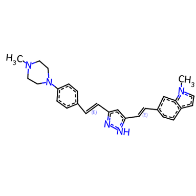 CN1CCN(c2ccc(/C=C/c3cc(/C=C/c4ccc5ccn(C)c5c4)[nH]n3)cc2)CC1